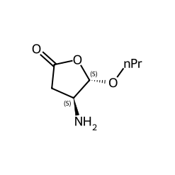 CCCO[C@H]1OC(=O)C[C@@H]1N